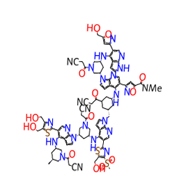 CNC(=O)c1cc(-c2cnc3c(ccn3[C@H]3C[C@@H](Nc4c(-c5cc(CO)on5)cnc5[nH]ccc45)CN(C(=O)CC#N)C3)c2N[C@H]2CC(C(=O)CC#N)C[C@@H](Cn3ccc4c(N[C@@H]5C[C@H](n6ccc7c(N[C@@H]8C[C@H](C)CN(C(=O)CC#N)C8)c(-c8nc(CO)c(CO)s8)cnc76)CN(C(=O)CC#N)C5)c(-c5nc(S(C)(=O)=O)c(CO)s5)cnc43)C2)no1